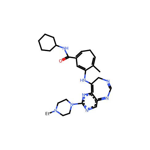 CCN1CCN(c2ncc3c(n2)=C(NC2=CC(C(=O)NC4CCCCC4)=CCC=C2C)CN=CN=3)CC1